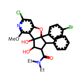 CCN(CC)C(=O)C1C(O)C2(O)c3c(cc(Cl)nc3OC)OC2(c2ccc(Br)cc2)C1c1ccccc1